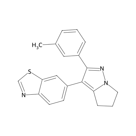 Cc1cccc(-c2nn3c(c2-c2ccc4ncsc4c2)CCC3)c1